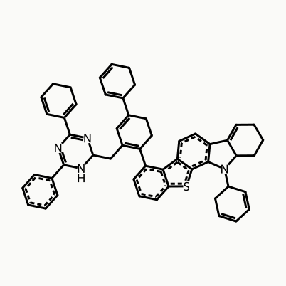 C1=CCCC(C2=CC(CC3N=C(C4=CCCC=C4)N=C(c4ccccc4)N3)=C(c3cccc4sc5c6c(ccc5c34)C3=CCCCC3N6C3C=CC=CC3)CC2)=C1